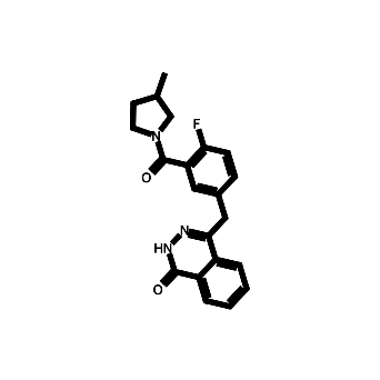 CC1CCN(C(=O)c2cc(Cc3n[nH]c(=O)c4ccccc34)ccc2F)C1